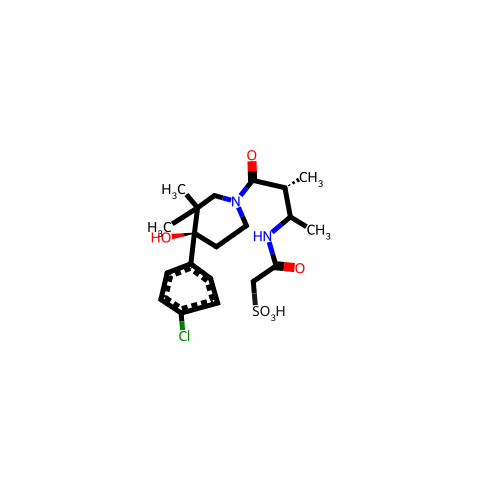 CC(NC(=O)CS(=O)(=O)O)[C@@H](C)C(=O)N1CC[C@](O)(c2ccc(Cl)cc2)C(C)(C)C1